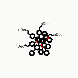 CCCCCCCCCCCCc1ccc(-c2c(-c3ccc(CCCCCCCCCCCC)cc3)c(-c3ccc(CCCCCCCCCCCC)cc3)c(C3(C(=C(c4ccccc4)c4ccccc4)c4ccccc4)C=CC(c4ccccc4)=CC3)c(C3(C(=C(c4ccccc4)c4ccccc4)c4ccccc4)C=CC(c4ccccc4)=CC3)c2-c2ccc(CCCCCCCCCCCC)cc2)cc1